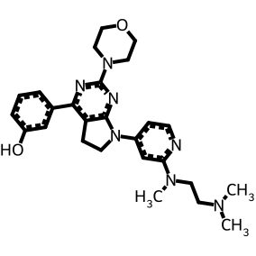 CN(C)CCN(C)c1cc(N2CCc3c(-c4cccc(O)c4)nc(N4CCOCC4)nc32)ccn1